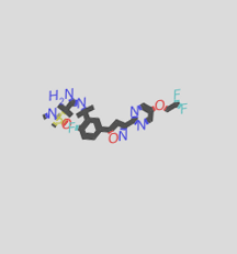 CN=S(C)(=O)C(C)(C)/C(N)=N\C(C)(C)c1cc(-c2cc(-c3ncc(OCC(F)F)cn3)no2)ccc1F